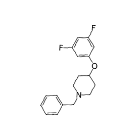 Fc1cc(F)cc(OC2CCN(Cc3ccccc3)CC2)c1